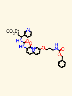 CCOC(=O)CC(NC(=O)Nc1ccc2ccc(OCCCNC(=O)OCc3ccccc3)cn2c1=O)c1cccnc1